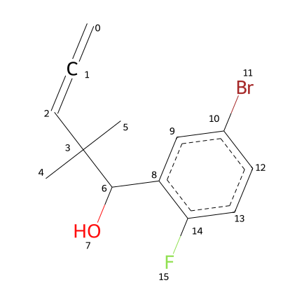 C=C=CC(C)(C)C(O)c1cc(Br)ccc1F